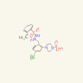 Cc1ccccc1S(=O)(=O)NNCc1ccc(Br)cc1N1CCN(C(=O)O)CC1